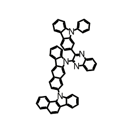 c1ccc(-n2c3ccccc3c3ccc(-c4nc5ccccc5nc4-n4c5ccccc5c5cc6ccc(-n7c8ccccc8c8ccc9ccccc9c87)cc6cc54)cc32)cc1